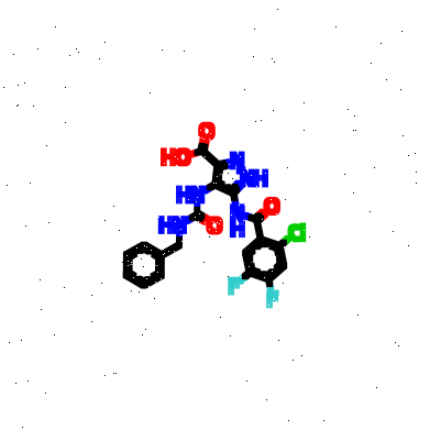 O=C(NCc1ccccc1)Nc1c(C(=O)O)n[nH]c1NC(=O)c1cc(F)c(F)cc1Cl